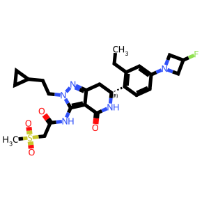 CCc1cc(N2CC(F)C2)ccc1[C@H]1Cc2nn(CCC3CC3)c(NC(=O)CS(C)(=O)=O)c2C(=O)N1